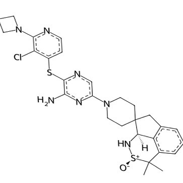 CC1(C)c2cccc3c2[C@@H](N[S@+]1[O-])C1(CCN(c2cnc(Sc4ccnc(N5CCC5)c4Cl)c(N)n2)CC1)C3